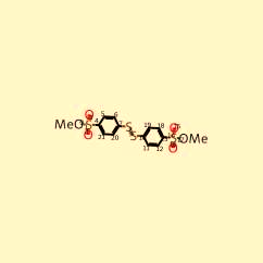 COS(=O)(=O)c1ccc(SSc2ccc(S(=O)(=O)OC)cc2)cc1